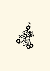 COc1ccc(C(=O)NCC2(NC(CC(=O)NCC(C)(C)C)C(=O)NC(CCc3ccccc3)C(=O)N[C@@H]3CCCc4ccccc43)COC2)cc1